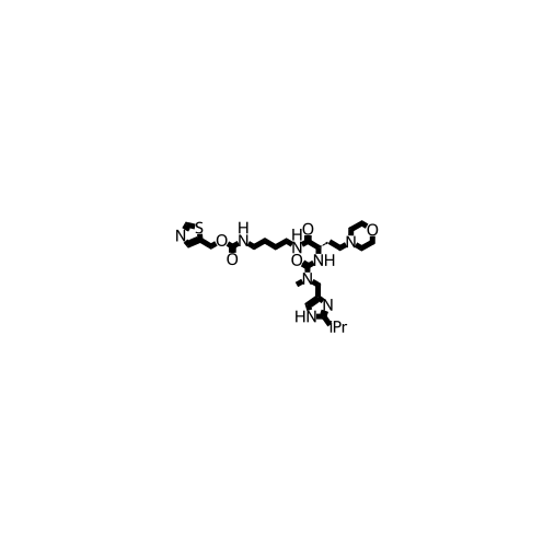 CC(C)c1nc(CN(C)C(=O)N[C@@H](CCN2CCOCC2)C(=O)NCCCCNC(=O)OCc2cncs2)c[nH]1